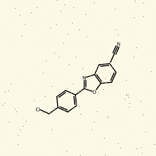 N#Cc1ccc2oc(-c3ccc(CCl)cc3)nc2c1